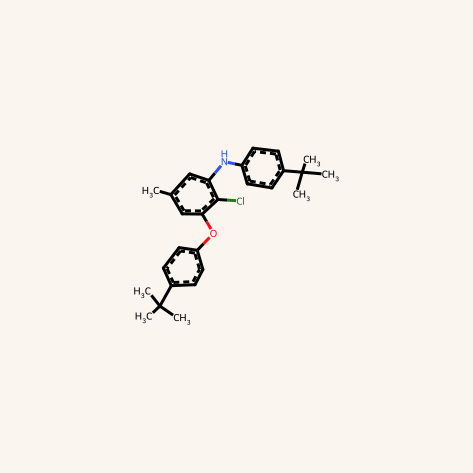 Cc1cc(Nc2ccc(C(C)(C)C)cc2)c(Cl)c(Oc2ccc(C(C)(C)C)cc2)c1